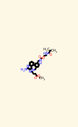 C=C(C)C(=O)NCCOC(=O)NCc1ccc(Cn2c(CCC(=O)OC)nc3c(N)nc4ccccc4c32)cc1